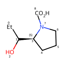 CCC(O)[C@@H]1CCCN1C(=O)O